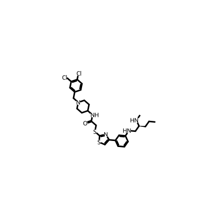 CCC[C@@H](CNc1cccc(-c2csc(SCC(=O)NC3CCN(Cc4ccc(Cl)c(Cl)c4)CC3)n2)c1)NC